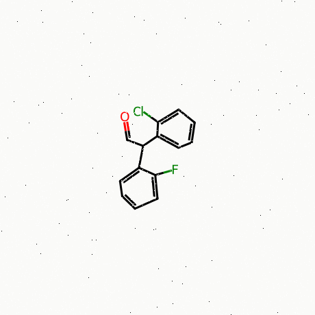 O=CC(c1ccccc1F)c1ccccc1Cl